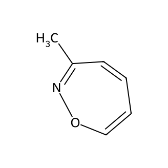 CC1=NOC=CC=C1